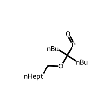 CCCCCCCCOC(CCCC)(CCCC)P=O